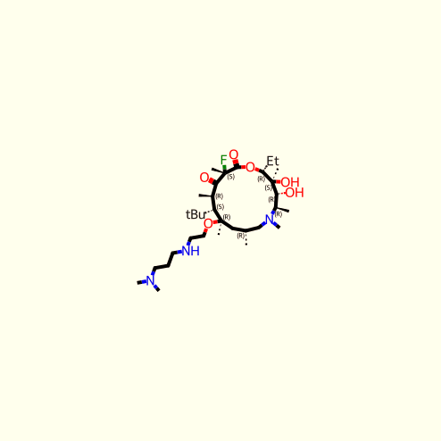 CC[C@H]1OC(=O)[C@@](C)(F)C(=O)[C@H](C)[C@@H](C(C)(C)C)[C@](C)(OCCNCCCN(C)C)C[C@@H](C)CN(C)[C@H](C)[C@@H](O)[C@]1(C)O